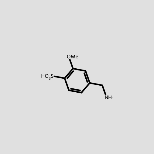 COc1cc(C[NH])ccc1S(=O)(=O)O